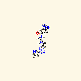 Cc1cncc(Nc2ncc3c(n2)CN(C2CN(C(=O)c4ccc5[nH]nnc5c4)C2)C3)c1